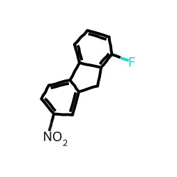 O=[N+]([O-])c1ccc2c(c1)Cc1c(F)cccc1-2